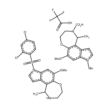 COc1cc2c(ccn2C(C)(C)C)c2c1OCCN(C(=O)O)C2C.COc1cc2c(ccn2S(=O)(=O)c2ccc(Cl)cc2Cl)c2c1OCCNC2C.O=C(O)C(F)(F)F